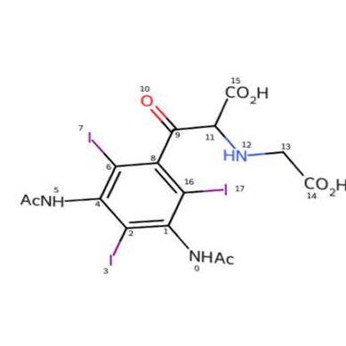 CC(=O)Nc1c(I)c(NC(C)=O)c(I)c(C(=O)C(NCC(=O)O)C(=O)O)c1I